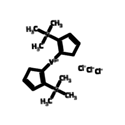 C[Si](C)(C)C1=[C]([V+3][C]2=C([Si](C)(C)C)C=CC2)CC=C1.[Cl-].[Cl-].[Cl-]